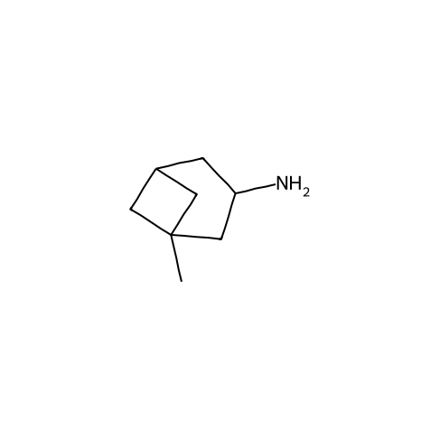 CC12CC(N)CC(C1)C2